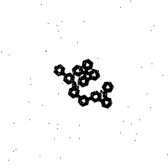 C1=CC(c2ccccc2)CC=C1N(c1cccc(-c2cccc(C3C=CC4C(C3)c3ccccc3N4c3ccccc3)c2)c1)c1ccc2c(c1)C(c1ccccc1)(c1ccccc1)c1ccccc1-2